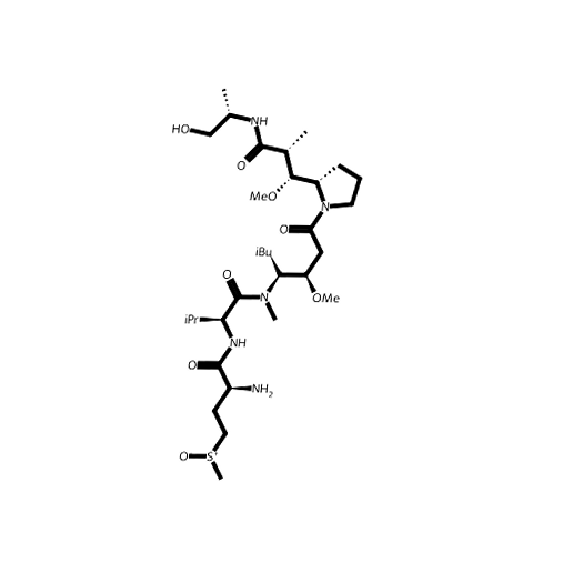 CC[C@H](C)[C@@H]([C@@H](CC(=O)N1CCC[C@H]1[C@H](OC)[C@@H](C)C(=O)N[C@@H](C)CO)OC)N(C)C(=O)[C@@H](NC(=O)[C@@H](N)CC[S+](C)[O-])C(C)C